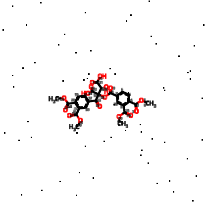 COC(=O)c1ccc(C(=O)O[C@](C(=O)O)(C(=O)c2ccc(C(=O)OC)c(C(=O)OC)c2)[C@@H](O)C(=O)O)cc1C(=O)OC